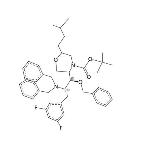 CC(C)CCC1CN(C(=O)OC(C)(C)C)C([C@@H](OCc2ccccc2)[C@H](Cc2cc(F)cc(F)c2)N(Cc2ccccc2)Cc2ccccc2)CO1